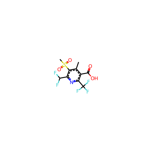 Cc1c(C(=O)O)c(C(F)(F)F)nc(C(F)F)c1S(C)(=O)=O